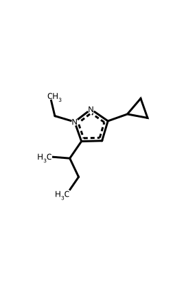 CCC(C)c1cc(C2CC2)nn1CC